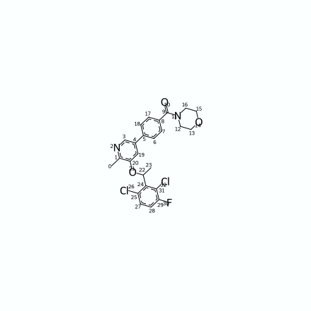 Cc1ncc(-c2ccc(C(=O)N3CCOCC3)cc2)cc1OC(C)c1c(Cl)ccc(F)c1Cl